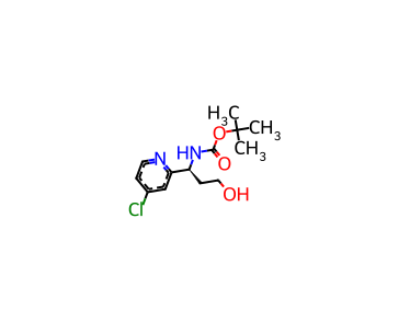 CC(C)(C)OC(=O)N[C@@H](CCO)c1cc(Cl)ccn1